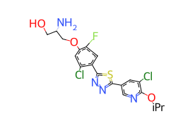 CC(C)Oc1ncc(-c2nnc(-c3cc(F)c(OC[C@@H](N)CO)cc3Cl)s2)cc1Cl